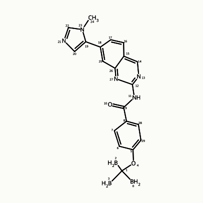 BC(B)(B)Oc1ccc(C(=O)Nc2ncc3ccc(-c4cncn4C)cc3n2)cc1